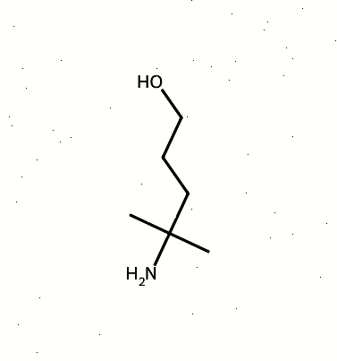 CC(C)(N)CCCO